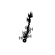 CSc1ncc(-c2cn(CCCCCC(=O)NCC(=O)NCC(=O)N[C@@H](Cc3ccccc3)C(=O)O)nn2)cn1